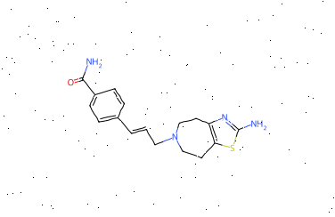 NC(=O)c1ccc(/C=C/CN2CCc3nc(N)sc3CC2)cc1